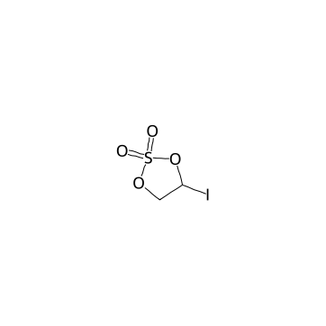 O=S1(=O)OCC(I)O1